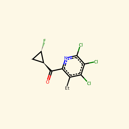 CCc1c(C(=O)[C@H]2[CH][C@@H]2F)nc(Cl)c(Cl)c1Cl